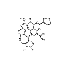 C=CC(=O)N1CN([C@@H]2c3ccccc3SCc3c2ccc(F)c3F)n2cc(C(=O)OC)c(=O)c(OCc3ccccc3)c2C1=O